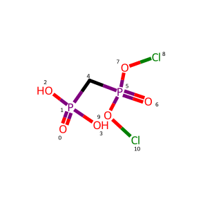 O=P(O)(O)CP(=O)(OCl)OCl